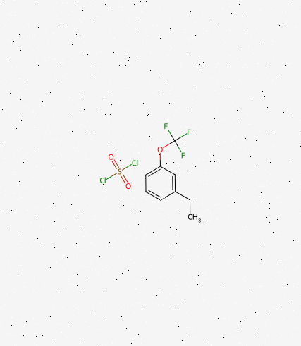 CCc1cccc(OC(F)(F)F)c1.O=S(=O)(Cl)Cl